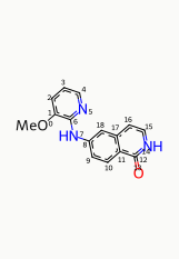 COc1cccnc1Nc1ccc2c(=O)[nH]ccc2c1